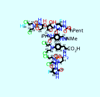 CCCCCOC(=O)Nc1nc(=O)n([C@@H]2O[C@H](C)[C@@H](O)[C@H]2O)cc1F.CNNCc1ccc(C(=O)NC(C)C)cc1.F.N[C@@H](Cc1ccc(N(CCCl)CCCl)cc1)C(=O)O.O=P1(N(CCCl)CCCl)NCCCO1.O=P1(NCCCl)OCCCN1CCCl.O=c1[nH]cc(F)c(=O)[nH]1